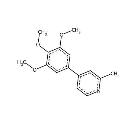 COc1cc(-c2ccnc(C)c2)cc(OC)c1OC